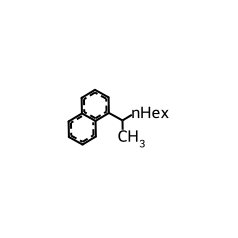 CCCCCCC(C)c1cccc2ccccc12